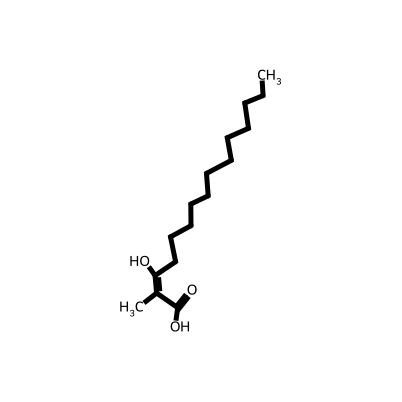 CCCCCCCCCCCCC(O)=C(C)C(=O)O